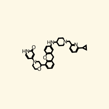 O=c1cc(N2CCOC(c3cccc4c3Oc3ccc(NC5CCN(Cc6cccc(C7CC7)n6)CC5)cc3C4)C2)cc[nH]1